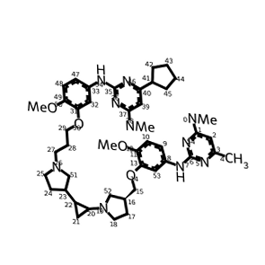 CNc1cc(C)nc(Nc2ccc(OC)c(OC[C@H]3CCN(C4CC4C4CCN(CCCOc5cc(Nc6nc(NC)cc(C7CCCC7)n6)ccc5OC)C4)C3)c2)n1